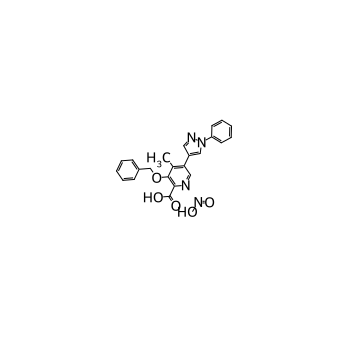 Cc1c(-c2cnn(-c3ccccc3)c2)cnc(C(=O)O)c1OCc1ccccc1.O=NO